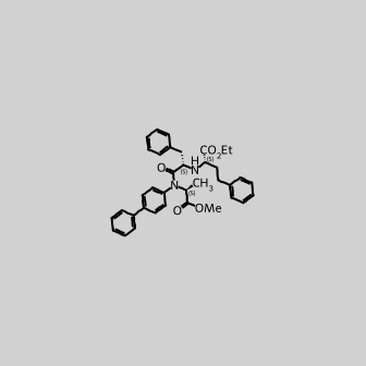 CCOC(=O)[C@H](CCc1ccccc1)N[C@@H](Cc1ccccc1)C(=O)N(c1ccc(-c2ccccc2)cc1)[C@@H](C)C(=O)OC